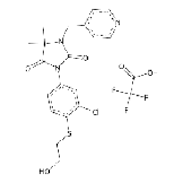 CC1(C)C(=O)N(c2ccc(SCCO)c(Cl)c2)C(=O)N1Cc1ccncc1.O=C(O)C(F)(F)F